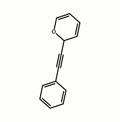 C(#CC1C=CC=CO1)c1ccccc1